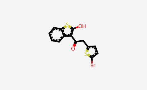 O=C(Cc1ccc(Br)s1)c1c(O)sc2ccccc12